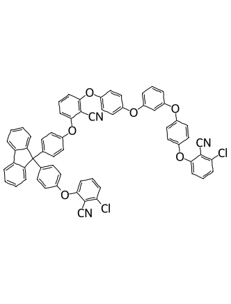 N#Cc1c(Cl)cccc1Oc1ccc(Oc2cccc(Oc3ccc(Oc4cccc(Oc5ccc(C6(c7ccc(Oc8cccc(Cl)c8C#N)cc7)c7ccccc7-c7ccccc76)cc5)c4C#N)cc3)c2)cc1